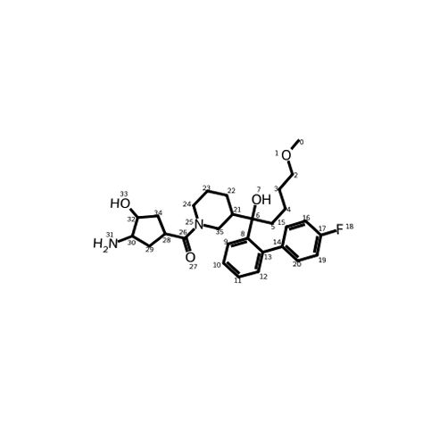 COCCCCC(O)(c1ccccc1-c1ccc(F)cc1)C1CCCN(C(=O)C2CC(N)C(O)C2)C1